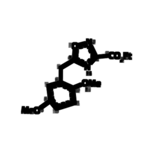 CCOC(=O)c1noc(Cc2cc(OC)ccc2OC)n1